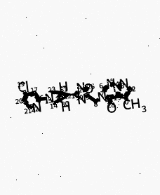 Cc1cnn2ncn(Cc3nc([C@H]4[C@@H]5CN(c6cc(Cl)ccn6)C[C@@H]54)no3)c(=O)c12